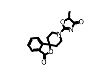 CC1OC(N2CCC3(CC2)OC(=O)c2ccccc23)=NC1=O